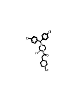 CC(=O)N1CCC(CC(=O)N2CCN(C(c3ccc(Cl)cc3)c3ccc(Cl)cc3)C[C@@H]2C(C)C)CC1